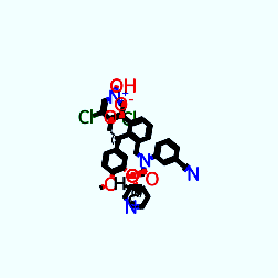 COc1ccc([C@H](Cc2c(Cl)c[n+](O)cc2Cl)c2c(CN(C(=O)O[C@H]3CN4CCC3CC4)c3cccc(C#N)c3)cccc2C(=O)[O-])cc1OC